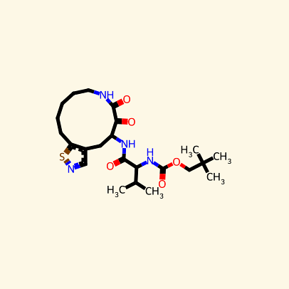 CC(C)C(NC(=O)OCC(C)(C)C)C(=O)NC1Cc2cnsc2CCCCCNC(=O)C1=O